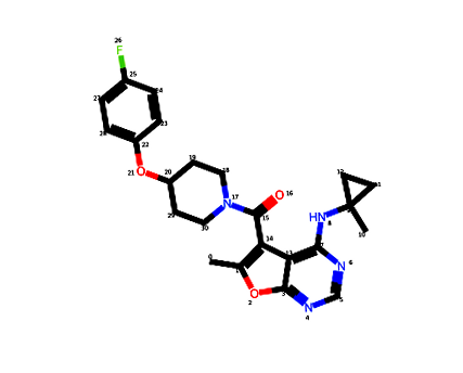 Cc1oc2ncnc(NC3(C)CC3)c2c1C(=O)N1CCC(Oc2ccc(F)cc2)CC1